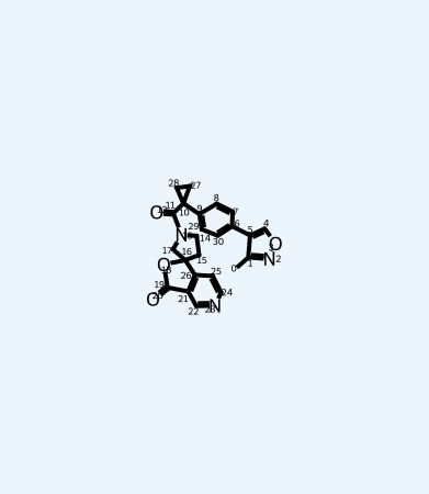 Cc1nocc1-c1ccc(C2(C(=O)N3CCC4(C3)OC(=O)c3cnccc34)CC2)cc1